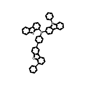 c1ccc(-c2cccc3c2oc2ccc(-c4ccc(N(c5ccc6c7ccccc7n(-c7ccccc7)c6c5)c5cccc6c5sc5ccccc56)cc4)cc23)cc1